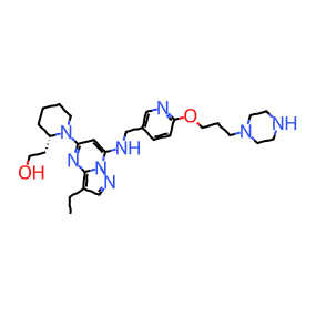 CCc1cnn2c(NCc3ccc(OCCCN4CCNCC4)nc3)cc(N3CCCC[C@H]3CCO)nc12